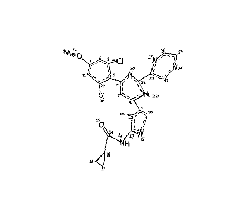 COc1cc(Cl)c(-c2cc(-c3cnc(NC(=O)C4CC4)s3)nc(-c3cnccn3)n2)c(Cl)c1